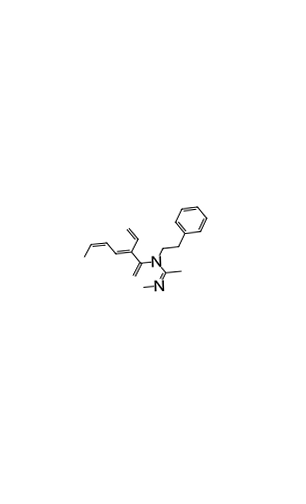 C=C/C(=C\C=C/C)C(=C)N(CCc1ccccc1)/C(C)=N\C